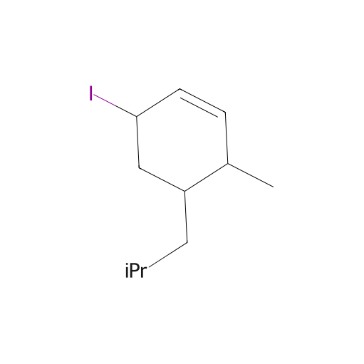 CC(C)CC1CC(I)C=CC1C